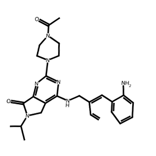 C=C/C(=C\c1ccccc1N)CNc1nc(N2CCN(C(C)=O)CC2)nc2c1CN(C(C)C)C2=O